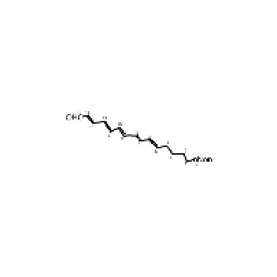 CCCCCCCCCCCCCC=CC=CC=CC=CC=C[C]=O